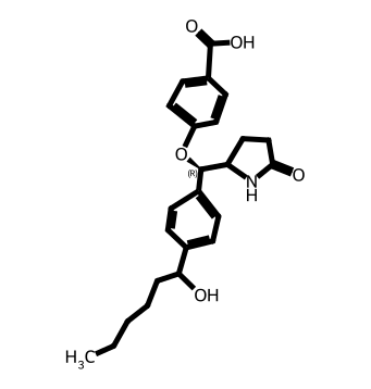 CCCCCC(O)c1ccc([C@@H](Oc2ccc(C(=O)O)cc2)C2CCC(=O)N2)cc1